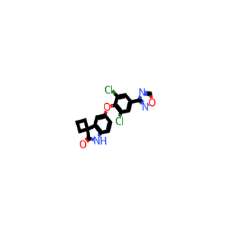 O=C1Nc2ccc(Oc3c(Cl)cc(-c4ncon4)cc3Cl)cc2C12CCC2